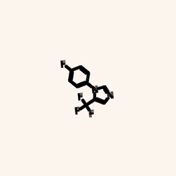 Fc1ccc(-n2cncc2C(F)(F)F)cc1